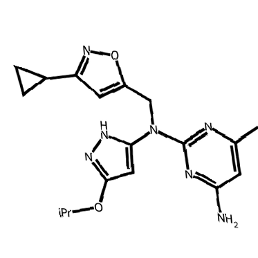 Cc1cc(N)nc(N(Cc2cc(C3CC3)no2)c2cc(OC(C)C)n[nH]2)n1